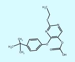 CCSc1ncc(OC(=O)O)c(Oc2ccc(C(C)(C)C)cc2)n1